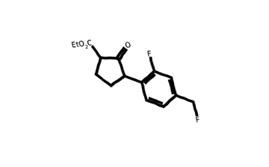 CCOC(=O)C1CCC(c2ccc(CF)cc2F)C1=O